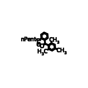 CCCCC[P](=O)c1ccccc1C(=O)c1c(C)cc(C)cc1C